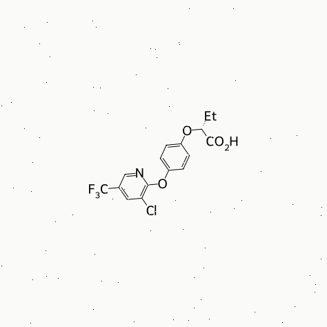 CC[C@@H](Oc1ccc(Oc2ncc(C(F)(F)F)cc2Cl)cc1)C(=O)O